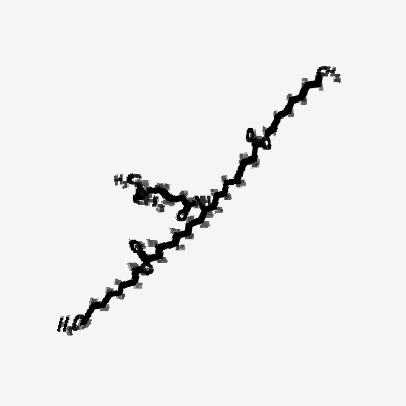 CCCCCCC=CCOC(=O)CCCCCCCC(CCCCCCCC(=O)OCC=CCCCCCC)NC(=O)CCCN(C)C